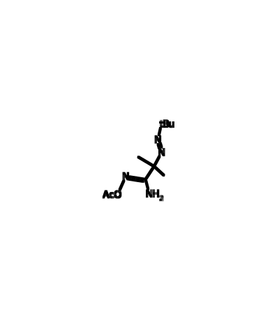 CC(=O)ON=C(N)C(C)(C)N=NC(C)(C)C